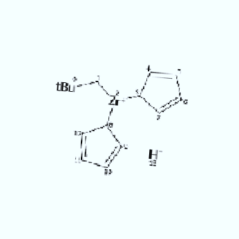 CC(C)(C)[CH2][Zr+]([CH]1C=CC=C1)[CH]1C=CC=C1.[H-]